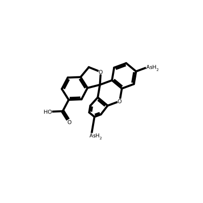 O=C(O)c1ccc2c(c1)C1(OC2)c2ccc([AsH2])cc2Oc2cc([AsH2])ccc21